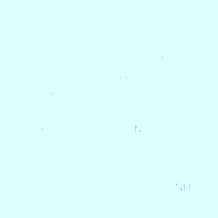 NC(=O)OC1CCN(c2cc(OCc3ccccc3)cc(OCc3ccccc3)c2)CC1